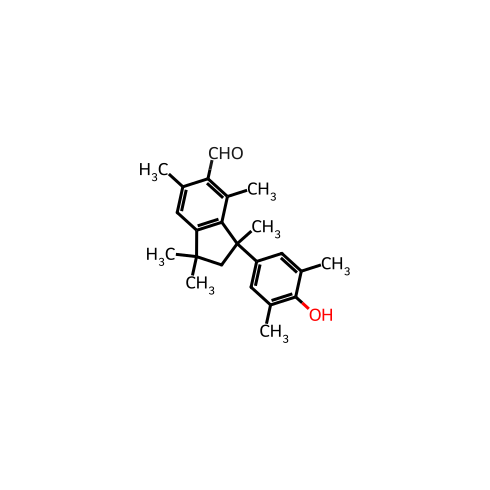 Cc1cc(C2(C)CC(C)(C)c3cc(C)c(C=O)c(C)c32)cc(C)c1O